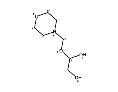 OCC(O)OCN1CCOCC1